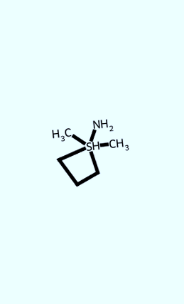 C[SH]1(C)(N)CCC1